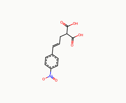 O=C(O)C(C/C=C/c1ccc([N+](=O)[O-])cc1)C(=O)O